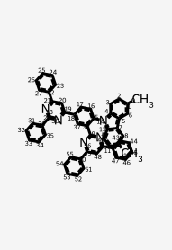 Cc1ccc2c(c1)c1cc(C)ccc1n2-c1ccc(-c2cc(-c3ccccc3)nc(-c3ccccc3)n2)cc1-c1nc(-c2ccccc2)cc(-c2ccccc2)n1